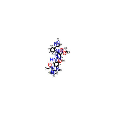 C=CC(=O)Nc1cc(Nc2ncc(C(=O)OC(C)C)c(Nc3ccccc3-c3ccn(C)n3)n2)c(OC)cc1N(C)C1CCN(C)C1